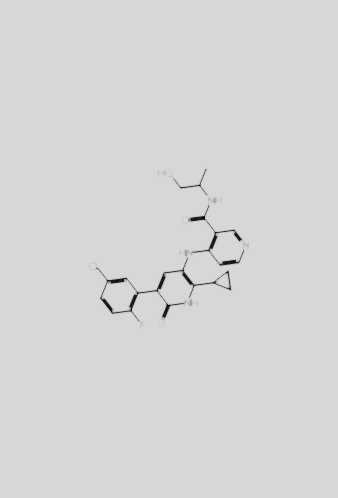 CC(CO)NC(=O)c1cnccc1Nc1cc(-c2cc(Cl)ccc2F)c(=O)[nH]c1C1CC1